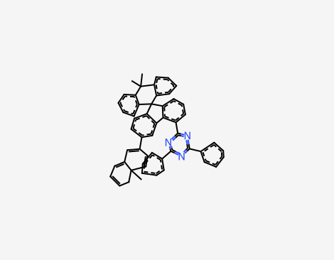 CC12C=CC(c3ccc4c(c3)-c3c(-c5nc(-c6ccccc6)nc(-c6ccccc6)n5)cccc3C43c4ccccc4C(C)(C)c4ccccc43)=CC1=CC=CC2